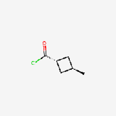 C[C@H]1C[C@H](C(=O)Cl)C1